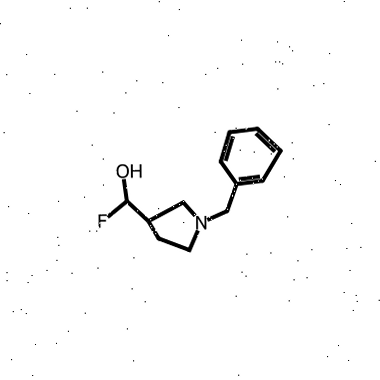 OC(F)C1CCN(Cc2ccccc2)C1